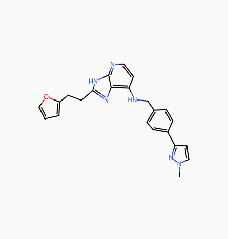 Cn1ccc(-c2ccc(CNc3ccnc4[nH]c(CCc5ccco5)nc34)cc2)n1